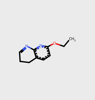 CCOc1ccc2c(n1)N=CCC2